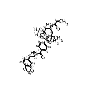 C=CC(=O)NC1CC(C)(C)N(S(=O)(=O)c2ccc(C(=O)NCCc3ccc4c(c3)OCO4)cc2)C(C)(C)C1